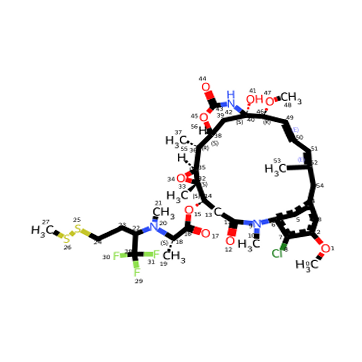 COc1cc2cc(c1Cl)N(C)C(=O)C[C@H](OC(=O)[C@H](C)N(C)C(CCSSC)C(F)(F)F)[C@]1(C)O[C@H]1[C@H](C)[C@@H]1C[C@@](O)(NC(=O)O1)[C@H](OC)/C=C/C=C(\C)C2